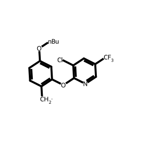 [CH2]c1ccc(OCCCC)cc1Oc1ncc(C(F)(F)F)cc1Cl